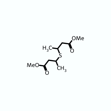 COC(=O)CC(C)SC(C)CC(=O)OC